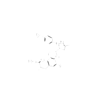 CC1=NN(c2ccc(Br)cc2)C(COc2c(F)cc(CC(C)C(=O)O)cc2F)C1